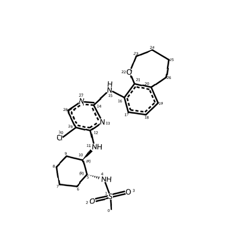 CS(=O)(=O)N[C@@H]1CCCC[C@H]1Nc1nc(Nc2cccc3c2OCCCC3)ncc1Cl